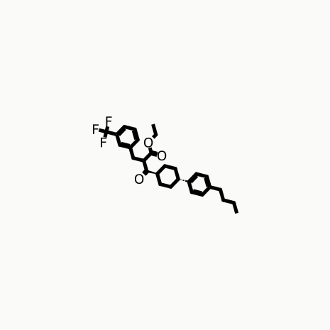 CCCCc1ccc([C@H]2CC[C@H](C(=O)C(Cc3cccc(C(F)(F)F)c3)C(=O)OCC)CC2)cc1